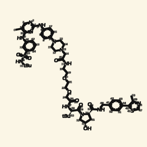 Cc1cnc(Nc2ccc(N3CCN(CC(=O)NCCOCCOCC(=O)N[C@H](C(=O)N4C[C@@H](O)C[C@H]4C(=O)NCc4ccc(-c5scnc5C)cc4)C(C)(C)C)CC3)cc2)nc1Nc1cccc(S(=O)(=O)NC(C)(C)C)c1